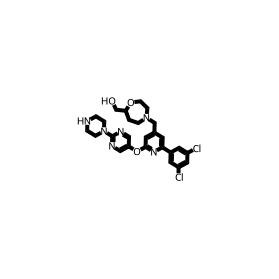 OCC1CCN(Cc2cc(Oc3cnc(N4CCNCC4)nc3)nc(-c3cc(Cl)cc(Cl)c3)c2)CCO1